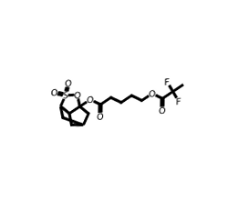 CC(F)(F)C(=O)OCCCCC(=O)OC12CC3CC1C(C3)S(=O)(=O)O2